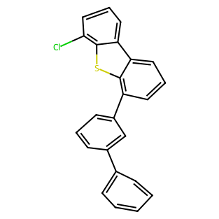 Clc1cccc2c1sc1c(-c3cccc(-c4ccccc4)c3)cccc12